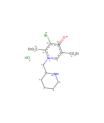 CCOC(=O)c1cn(CC2CCCCN2)c(C(=O)OCC)c(Br)c1=O.Cl